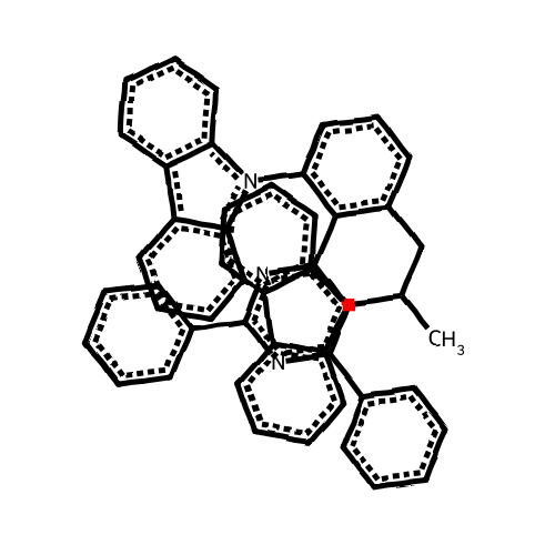 CC(Cc1cccc(-n2c3ccccc3c3ccccc32)c1-c1cc(-c2ccccc2)nc(-c2ccccc2)n1)C1c2ccccc2-c2ccccc21